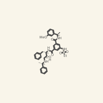 CCS(=O)(=O)Nc1cc(C(=O)N[C@@H](Cc2ccccc2)[C@H](O)CN[C@@H](C)c2ccccc2)cc(C(=O)N[C@H](C)c2cccc(OC)c2)c1